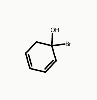 OC1(Br)C=CC=CC1